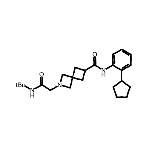 CC(C)(C)NC(=O)CN1CC2(CC(C(=O)Nc3ccccc3C3CCCC3)C2)C1